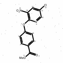 COC(=O)c1ccc(Oc2ncc(Cl)cc2[N+](=O)[O-])cc1